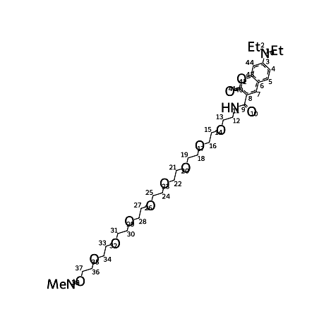 CCN(CC)c1ccc2cc(C(=O)NCCOCCOCCOCCOCCOCCOCCOCCOCCONC)c(=O)oc2c1